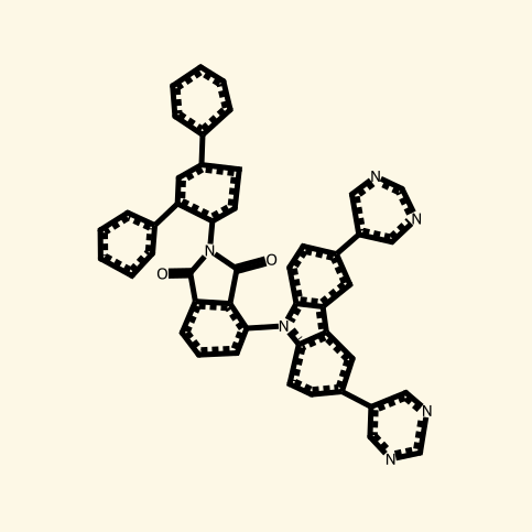 O=C1c2cccc(-n3c4ccc(-c5cncnc5)cc4c4cc(-c5cncnc5)ccc43)c2C(=O)N1c1ccc(-c2ccccc2)cc1-c1ccccc1